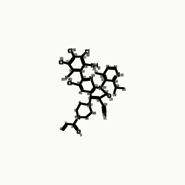 C=CC(=O)N1CCN(c2c(C#N)c(=O)n(-c3c(C)ccnc3C(C)C)c3nc(-c4c(N)c(Cl)c(Cl)c(Cl)c4F)c(Cl)cc23)CC1